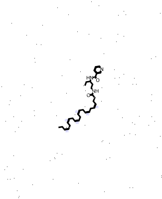 CC/C=C\C/C=C\C/C=C\C/C=C\C/C=C\C/C=C\CCC(=O)NCCC(CC)NC(=O)c1cccnc1